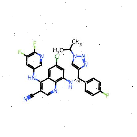 CC(C)n1cc([C@@H](Nc2cc(Cl)cc3c(Nc4cnc(F)c(F)c4)c(C#N)cnc23)c2ccc(F)cc2)nn1